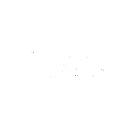 Cc1cc(C#N)ccc1NC(=O)/C(C#N)=C(\O)c1cnoc1C